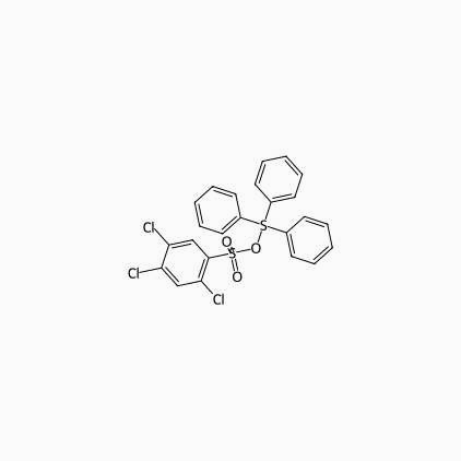 O=S(=O)(OS(c1ccccc1)(c1ccccc1)c1ccccc1)c1cc(Cl)c(Cl)cc1Cl